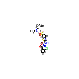 COCCN(C)CCS(=O)(=O)c1ccc2nc(NC(=O)NC(=O)c3ccccc3Cl)sc2c1